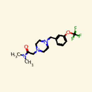 CN(C)C(=O)CN1CCN(Cc2cccc(OC(F)(F)F)c2)CC1